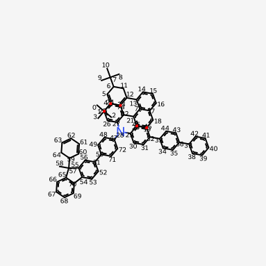 CC(C)(C)C1=CC(C(C)(C)C)CC(c2cccc3cccc(-c4ccccc4N(c4ccc(-c5ccc(-c6ccccc6)cc5)cc4)c4ccc(-c5ccc6c(c5)C(C)(C5C=CC=CC5)c5ccccc5-6)cc4)c23)=C1